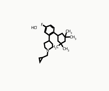 CC1(C)CC(c2ccc(F)cc2C2CCN(CC3CC3)CC2)CC(C)(C)C1.Cl